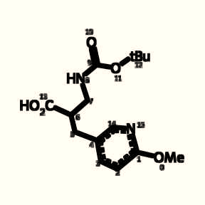 COc1ccc(CC(CNC(=O)OC(C)(C)C)C(=O)O)cn1